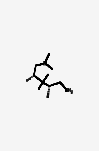 C[C@H](CN(C)C)C(C)(C)[C@@H](C)CN